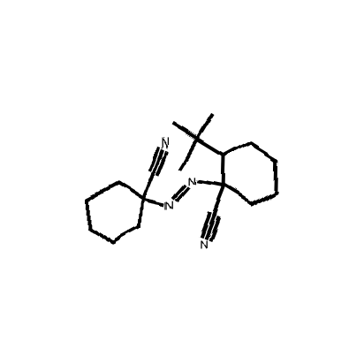 CC(C)(C)C1CCCCC1(C#N)N=NC1(C#N)CCCCC1